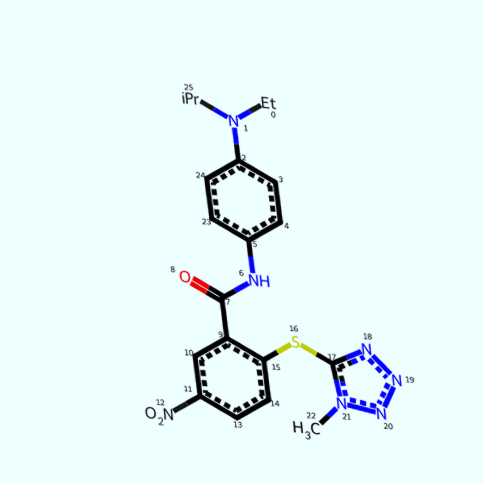 CCN(c1ccc(NC(=O)c2cc([N+](=O)[O-])ccc2Sc2nnnn2C)cc1)C(C)C